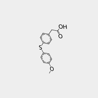 COc1ccc(Sc2ccc(CC(=O)O)cc2)cc1